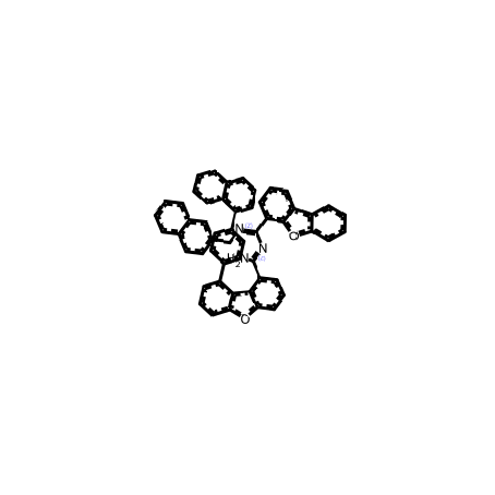 N/C(=N\C(=N/Cc1ccc2ccccc2c1)c1cccc2c1oc1ccccc12)c1cccc2oc3cccc(-c4ccc(-c5cccc6ccccc56)cc4)c3c12